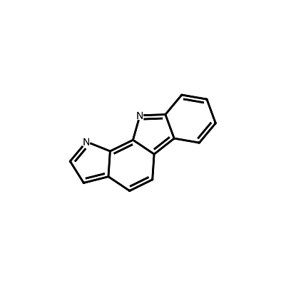 C1=Nc2c3c(ccc2=C1)=c1ccccc1=N3